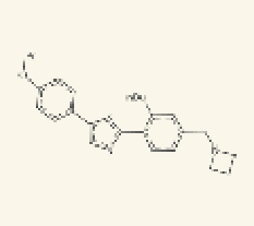 CCCCc1cc(CN2CCC2)ccc1-c1ncc(-c2ccc(OC(C)C)cc2)s1